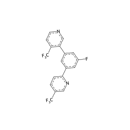 Fc1cc(-c2ccc(C(F)(F)F)cn2)cc(-c2cnccc2C(F)(F)F)c1